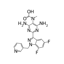 CN(C(=O)O)c1c(N)nc(-c2nn(Cc3cccnc3)c3c(F)cc(F)cc23)nc1N